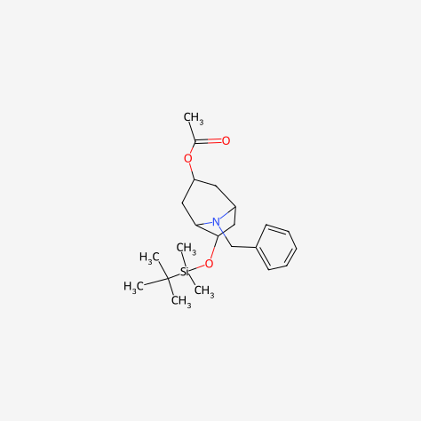 CC(=O)OC1CC2CC(O[Si](C)(C)C(C)(C)C)C(C1)N2Cc1ccccc1